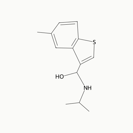 Cc1ccc2scc(C(O)NC(C)C)c2c1